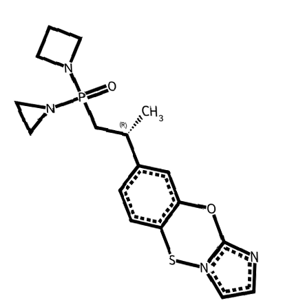 C[C@@H](CP(=O)(N1CCC1)N1CC1)c1ccc2c(c1)Oc1nccn1S2